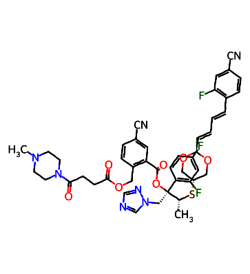 C[C@@H](S[C@H]1CO[C@H](C=CC=Cc2ccc(C#N)cc2F)OC1)[C@@](Cn1cncn1)(OC(=O)c1cc(C#N)ccc1COC(=O)CCC(=O)N1CCN(C)CC1)c1ccc(F)cc1F